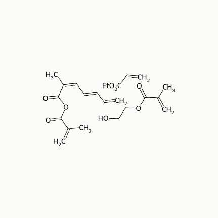 C=C(C)C(=O)OCCO.C=CC(=O)OCC.C=CC=CC=C(C)C(=O)OC(=O)C(=C)C